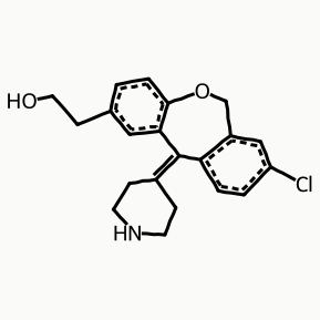 OCCc1ccc2c(c1)C(=C1CCNCC1)c1ccc(Cl)cc1CO2